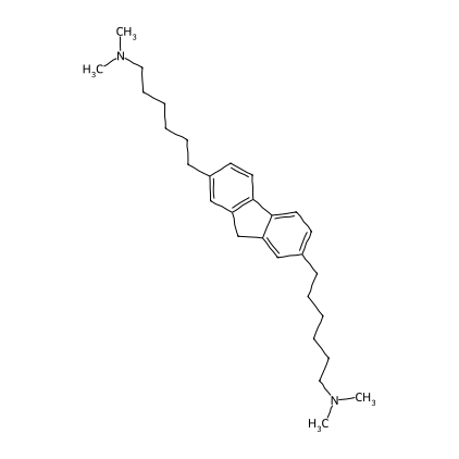 CN(C)CCCCCCc1ccc2c(c1)Cc1cc(CCCCCCN(C)C)ccc1-2